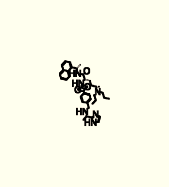 CCCN([CH]CC[C@H](NS(=O)(=O)c1ccc(CNC(C)c2ncc[nH]2)cc1)C(=O)N[C@@H](C)c1cccc2ccccc12)CCC